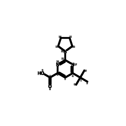 CC(C)(C)c1cc(C(=O)O)nc(N2CCCC2)n1